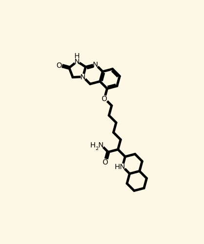 NC(=O)C(CCCCCOc1cccc2c1CN1CC(=O)NC1=N2)C1CCC2CCCCC2N1